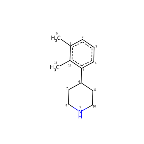 Cc1cccc(C2CCNCC2)c1C